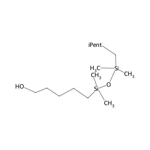 CCCC(C)C[Si](C)(C)O[Si](C)(C)CCCCCO